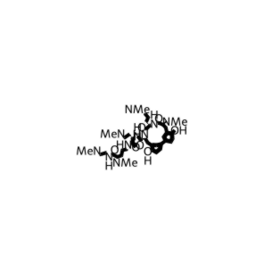 CNCCC[C@@H]1NC(=O)[C@@H](NC)Cc2cc(ccc2O)-c2ccc(O)c(c2)C[C@@H](C(=O)N[C@@H](CCNC)C(=O)NCCC[C@H](NC)C(=O)NCCNC)NC1=O